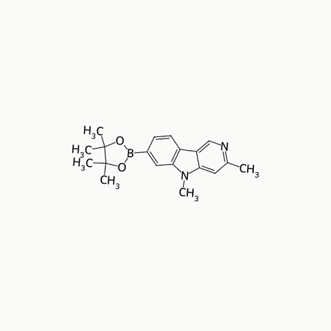 Cc1cc2c(cn1)c1ccc(B3OC(C)(C)C(C)(C)O3)cc1n2C